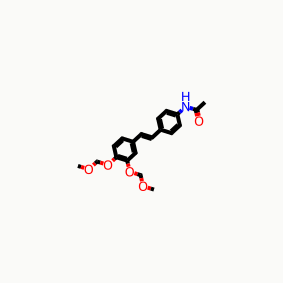 COCOc1ccc(C=Cc2ccc(NC(C)=O)cc2)cc1OCOC